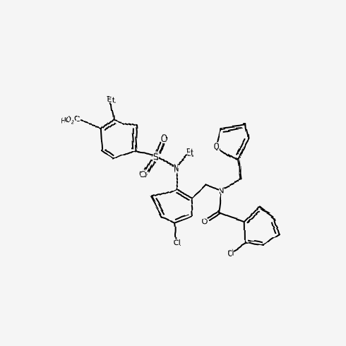 CCc1cc(S(=O)(=O)N(CC)c2ccc(Cl)cc2CN(Cc2ccco2)C(=O)c2ccccc2Cl)ccc1C(=O)O